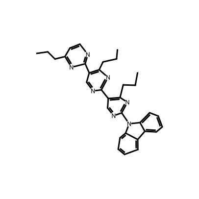 CCCc1ccnc(-c2cnc(-c3cnc(-n4c5ccccc5c5ccccc54)nc3CCC)nc2CCC)n1